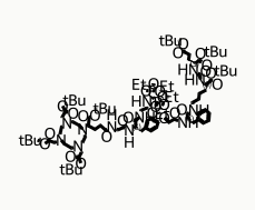 CCOP(=O)(OCC)C(NC(=O)CNC(=O)[C@H](Cc1ccc(OCC(=O)N[C@@H](Cc2ccccc2)C(=O)NCCCC[C@H](NC(=O)N[C@@H](CCC(=O)OC(C)(C)C)C(=O)OC(C)(C)C)C(=O)OC(C)(C)C)cc1)NC(=O)CNC(=O)CCC(C(=O)OC(C)(C)C)N1CCN(CC(=O)OC(C)(C)C)CCN(CC(=O)OC(C)(C)C)CCN(CC(=O)OC(C)(C)C)CC1)P(=O)(OCC)OCC